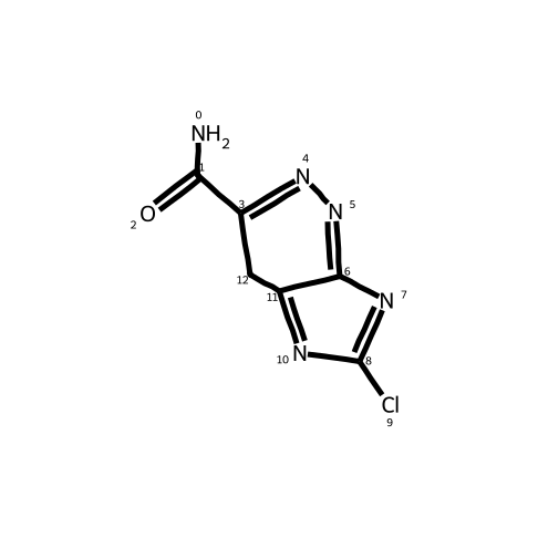 NC(=O)C1=NN=C2N=C(Cl)N=C2C1